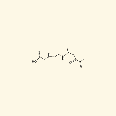 C=C(C)C(=O)CC(C)NCCNCC(=O)O